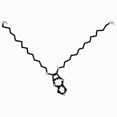 CCCCCCCCCCCCCCCOC1=C(OCCCCCCCCCCCCCCC)c2nc3cscc3nc21